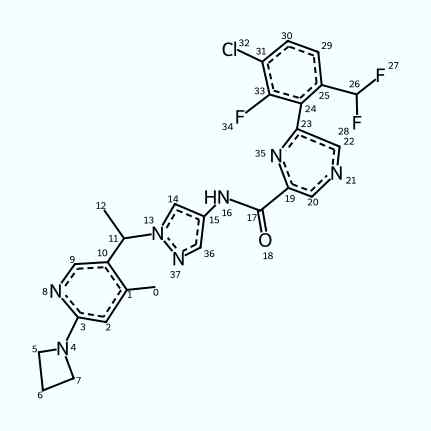 Cc1cc(N2CCC2)ncc1C(C)n1cc(NC(=O)c2cncc(-c3c(C(F)F)ccc(Cl)c3F)n2)cn1